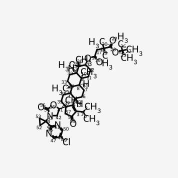 CC(C)C1=C2[C@H]3CC[C@@H]4[C@@]5(C)CC[C@H](OC(=O)CC(C)(C)C(=O)OC(C)(C)C)C(C)(C)[C@@H]5CC[C@@]4(C)[C@]3(C)CC[C@@]2(C2CN(C3(c4ncc(Cl)cn4)CC3)C(=O)O2)CC1=O